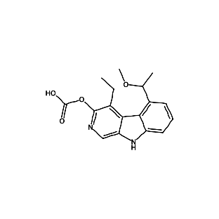 CCc1c(OC(=O)O)ncc2[nH]c3cccc(C(C)OC)c3c12